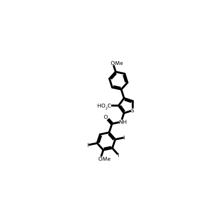 COc1ccc(-c2csc(NC(=O)c3cc(I)c(OC)c(I)c3I)c2C(=O)O)cc1